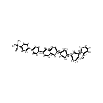 FC(F)(F)c1ccc(-c2ccc(-c3ccc4cc(-c5ccc(-c6ccc7sc8ccccc8c7c6)cc5)ccc4c3)cc2)cc1